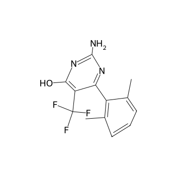 Cc1cccc(C)c1-c1nc(N)nc(O)c1C(F)(F)F